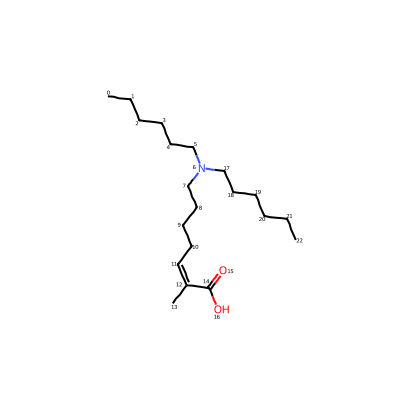 CCCCCCN(CCCCC=C(C)C(=O)O)CCCCCC